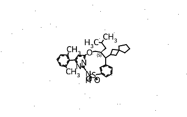 Cc1cccc(C)c1-c1cc2nc(n1)NS(=O)(=O)c1cccc(c1)C(C1CC3(CCCC3)C1)[C@H](CC(C)C)CO2